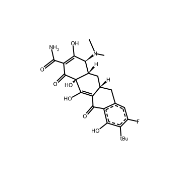 CN(C)[C@@H]1C(O)=C(C(N)=O)C(=O)[C@@]2(O)C(O)=C3C(=O)c4c(cc(F)c(C(C)(C)C)c4O)C[C@H]3C[C@@H]12